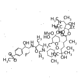 CC[C@@H](OC(=O)[C@H](C)C([C@H]1C[C@@](C)(OC)[C@@H](O)[C@H](C)O1)[C@H](C)[C@@H](O[C@H]1C[C@@H](N(C)CC(C)C(=O)N[C@H](CF)[C@H](O)c2ccc(S(C)(=O)=O)cc2)C[C@@H](C)O1)C(C)(C)O)[C@@](C)(O)[C@H](O)[C@@H](C)N(C)C